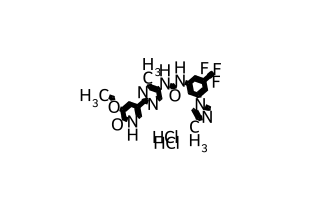 CCOc1cc(-c2ncc(NC(=O)Nc3cc(-n4cnc(C)c4)cc(C(F)(F)F)c3)c(C)n2)c[nH]c1=O.Cl.Cl